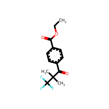 CCOC(=O)c1ccc(C(=O)C(C)(C)C(F)(F)F)cc1